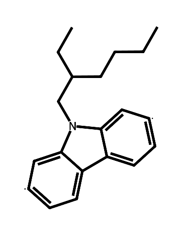 CCCCC(CC)Cn1c2c[c]ccc2c2cc[c]cc21